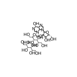 O=C(CO)C(O)C(O)C(O)CO.O=CC(O)C(O)C(O)C(O)CO.OC[C@H]1O[C@@H](n2cnc3c(O)ncnc32)[C@H](O)[C@@H]1O